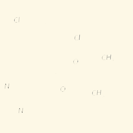 CC1OC(c2cncnc2)(c2ccc(Cl)cc2Cl)OC1C